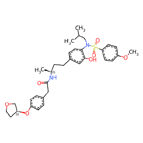 COc1ccc(S(=O)(=O)N(CC(C)C)c2ccc(CC[C@H](C)NC(=O)Cc3ccc(O[C@H]4CCOC4)cc3)cc2O)cc1